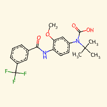 COc1cc(N(C(=O)O)C(C)(C)C)ccc1NC(=O)c1cccc(C(F)(F)F)c1